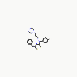 Cc1ccc(/C=C2/CSCC3C2=NN(CCCN2CCN(C)CC2)C3c2ccc(C)cc2)cc1